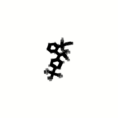 CNS(=O)(=O)c1ccccc1C(C(N)=O)c1ccc(C(O)(C(F)(F)F)C(F)(F)F)cc1